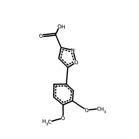 COc1ccc(-c2cc(C(=O)O)no2)cc1OC